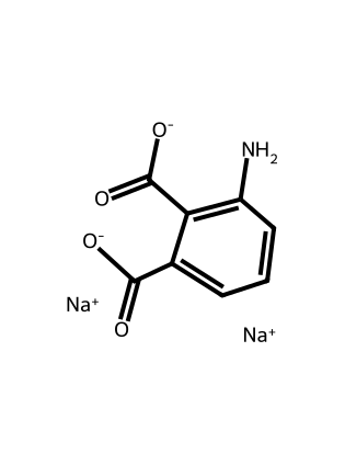 Nc1cccc(C(=O)[O-])c1C(=O)[O-].[Na+].[Na+]